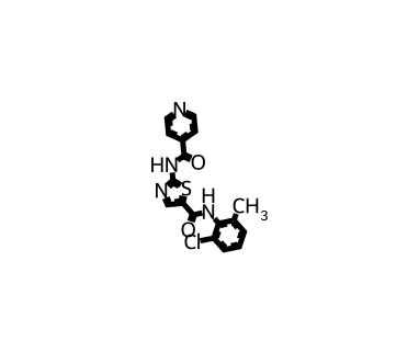 Cc1cccc(Cl)c1NC(=O)c1cnc(NC(=O)c2ccncc2)s1